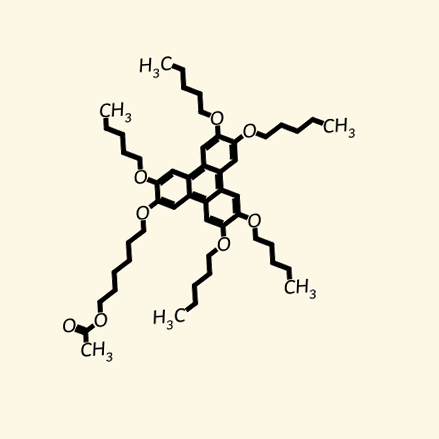 CCCCCOc1cc2c3cc(OCCCCC)c(OCCCCC)cc3c3cc(OCCCCCCOC(C)=O)c(OCCCCC)cc3c2cc1OCCCCC